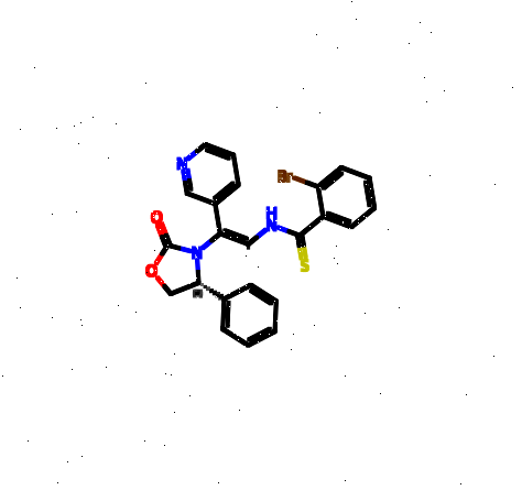 O=C1OC[C@@H](c2ccccc2)N1C(=[C]NC(=S)c1ccccc1Br)c1cccnc1